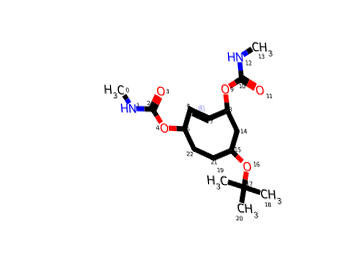 CNC(=O)OC1/C=C/C(OC(=O)NC)CC(OC(C)(C)C)CC1